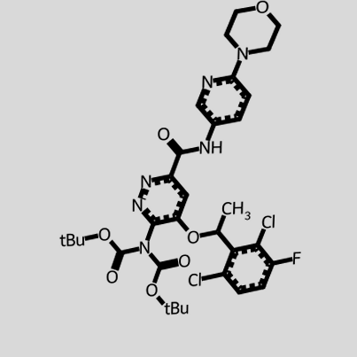 CC(Oc1cc(C(=O)Nc2ccc(N3CCOCC3)nc2)nnc1N(C(=O)OC(C)(C)C)C(=O)OC(C)(C)C)c1c(Cl)ccc(F)c1Cl